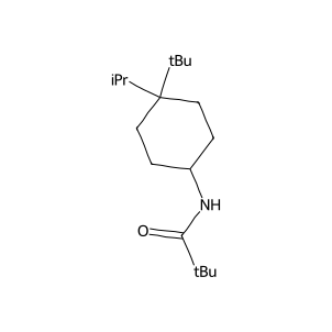 CC(C)C1(C(C)(C)C)CCC(NC(=O)C(C)(C)C)CC1